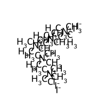 C[N+](C)(C)C.C[N+](C)(C)C.C[N+](C)(C)C.C[N+](C)(C)C.C[N+](C)(C)C.[Cl-].[I-].[I-].[I-].[I-]